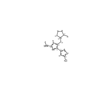 CNc1nc(-c2csc(Cl)c2)c(CN2CCCC2C)s1